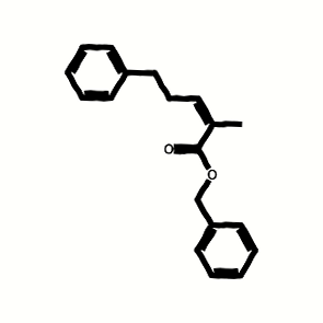 CC(=CCCc1ccccc1)C(=O)OCc1ccccc1